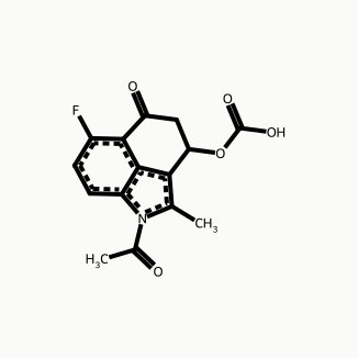 CC(=O)n1c(C)c2c3c(c(F)ccc31)C(=O)CC2OC(=O)O